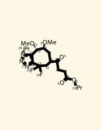 CO[C@H]1CC(C(=O)CCC(=O)OC(C)C)CC(F)(F)c2nnn(C(C)C)c2[C@@H]1OC